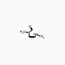 CN/C=C\N(C)C=O